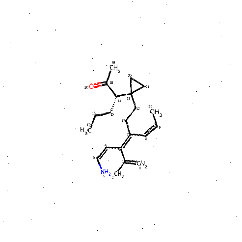 C=C(C)C(/C=C\N)=C(\C=C/C)CCC1([C@H](CCC)C(C)=O)CC1